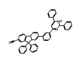 N#Cc1ccc2c(c1)C(c1ccccc1)(c1ccccc1)C1C=C(c3cccc(C4=NC(c5ccccc5)NC(c5ccccc5)=C4)c3)C=CC21